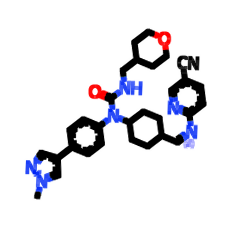 Cn1cc(-c2ccc(N(C(=O)NCC3CCOCC3)C3CCC(/C=N\c4ccc(C#N)cn4)CC3)cc2)cn1